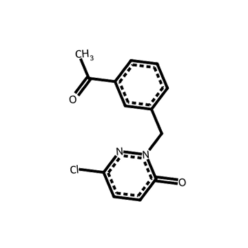 CC(=O)c1cccc(Cn2nc(Cl)ccc2=O)c1